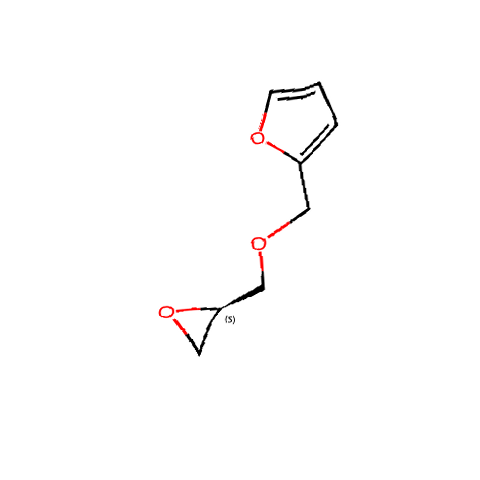 c1coc(COC[C@H]2CO2)c1